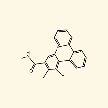 CNC(=O)c1cc(F)c(-c2ccccc2-c2ccccc2)c(F)c1C